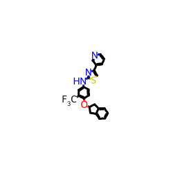 FC(F)(F)c1cc(Nc2nc(-c3cccnc3)cs2)ccc1OC1Cc2ccccc2C1